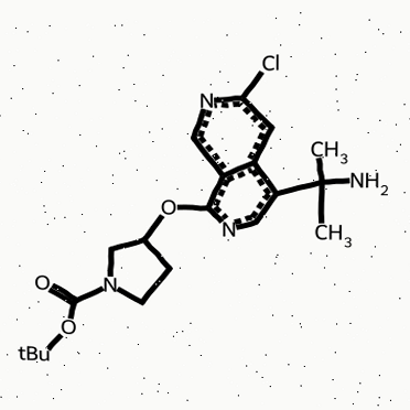 CC(C)(C)OC(=O)N1CCC(Oc2ncc(C(C)(C)N)c3cc(Cl)ncc23)C1